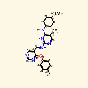 CO[C@H]1CC[C@@H](N(C)c2nc(NCc3cncnc3Oc3ccc(C)cc3)ncc2C(F)(F)F)CC1